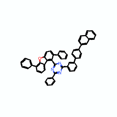 c1ccc(-c2nc(-c3cccc(-c4ccc(-c5ccc6ccccc6c5)cc4)c3)nc(-c3c(-c4ccccc4)ccc4oc5c(-c6ccccc6)cccc5c34)n2)cc1